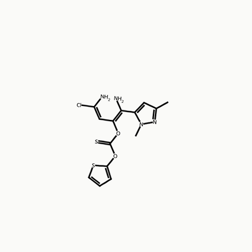 Cc1cc(/C(N)=C(/C=C(\N)Cl)OC(=S)Oc2cccs2)n(C)n1